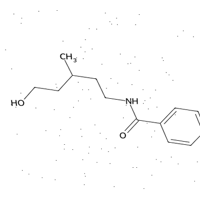 CC(CCO)CCNC(=O)c1ccccc1